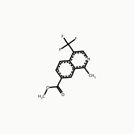 COC(=O)c1ccc2c(C(F)(F)F)cnc(C)c2c1